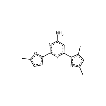 Cc1cc(C)n(-c2cc(N)nc(-c3ccc(C)o3)n2)n1